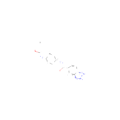 CC(C)(C)OC(=O)Nc1ccc(NC(=O)c2ccc3[nH]nnc3c2)cc1